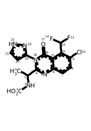 CC(NC(=O)O)c1nc2ccc(Cl)c(C(F)F)c2c(=O)n1-c1cc[nH]n1